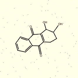 O=C1C2=C(C(=O)c3ccccc31)C(O)C(O)CC2